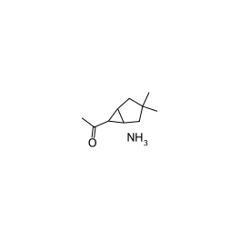 CC(=O)C1C2CC(C)(C)CC21.N